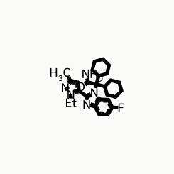 CCn1nc(C)cc1-c1nc2ccc(F)cc2n1C(C(N)=O)(C1CCCCC1)C1CCCCC1